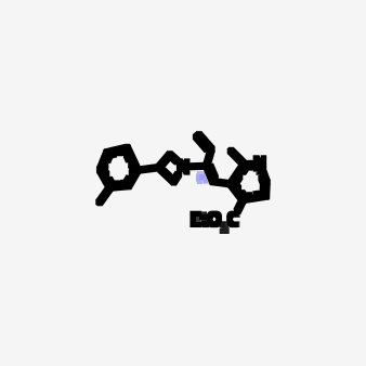 C=C/C(=C\c1c(C(=O)OCC)ccnc1C)N1CC(c2cccc(C)c2)C1